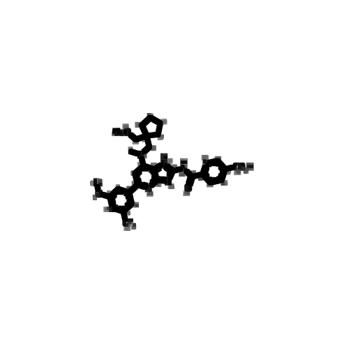 CCOc1cc(-c2cc(N(C)CC3(COC)CCCC3)c3[nH]c(NC(=O)c4ccc(C(=O)O)cn4)nc3n2)cc(C(F)(F)F)n1